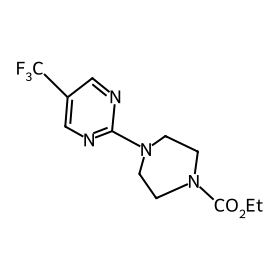 CCOC(=O)N1CCN(c2ncc(C(F)(F)F)cn2)CC1